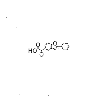 O=C(O)C(=O)c1ccc2oc(-c3ccccc3)cc2c1